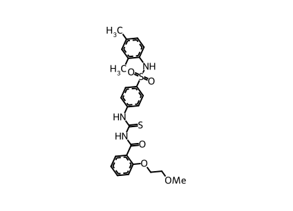 COCCOc1ccccc1C(=O)NC(=S)Nc1ccc(S(=O)(=O)Nc2ccc(C)cc2C)cc1